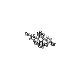 O=[N+]([O-])c1c([N+](=O)[O-])c(-c2ccc(Br)s2)c2nsnc2c1-c1ccc(Br)s1